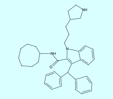 O=C(NC1CCCCCCC1)c1c(C(c2ccccc2)c2ccccc2)c2ccccc2n1CCCC1CCNC1